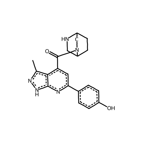 Cc1n[nH]c2nc(-c3ccc(O)cc3)cc(C(=O)N3CC4CCC3CN4)c12